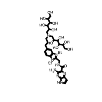 CCn1c(CNC(=O)c2nc3cc[nH]c3nc2N)[n+](CC)c2cc(CCCN(CC(O)C(O)C(O)C(O)CO)CC(O)C(O)C(O)C(O)CO)ccc21